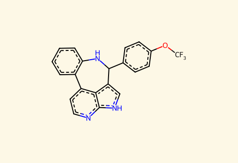 FC(F)(F)Oc1ccc(C2Nc3ccccc3-c3ccnc4[nH]cc2c34)cc1